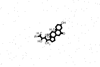 CC(C)C(C)C(O)C(O)C(C)C1CCC2C3CC(=O)C4CC(O)CCC4(C)C3CCC12C